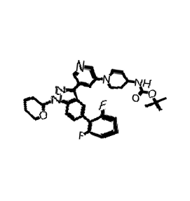 CC(C)(C)OC(=O)NC1CCN(c2cncc(-c3nn(C4CCCCO4)c4ccc(-c5c(F)cccc5F)cc34)c2)CC1